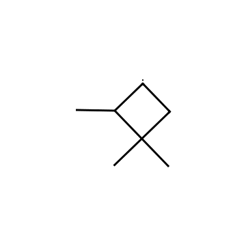 CC1[CH]CC1(C)C